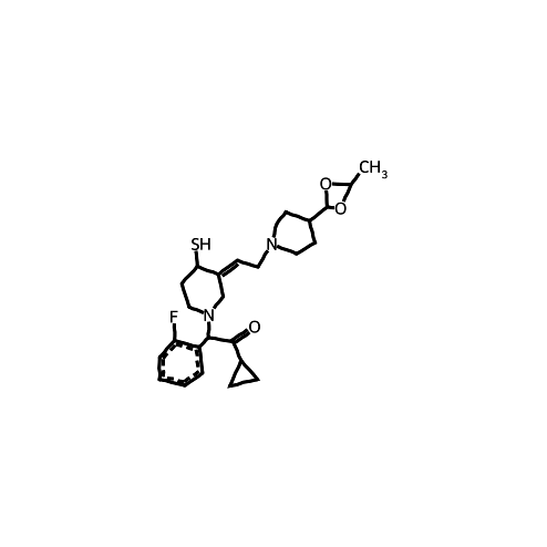 CC1OC(C2CCN(C/C=C3\CN(C(C(=O)C4CC4)c4ccccc4F)CCC3S)CC2)O1